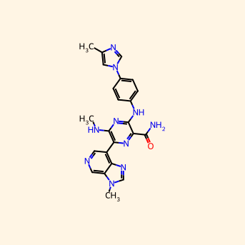 CNc1nc(Nc2ccc(-n3cnc(C)c3)cc2)c(C(N)=O)nc1-c1cncc2c1ncn2C